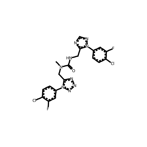 CN(Cc1nnnn1-c1ccc(Cl)c(F)c1)C(=O)NCc1ncnn1-c1ccc(Cl)c(F)c1